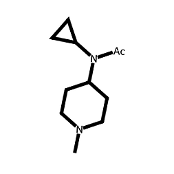 CC(=O)N(C1CC1)C1CCN(C)CC1